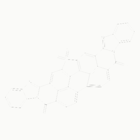 O=c1c2ccc3c4ccc5c(=O)n6c7ccccc7nc6c6cc7c(c8c(cc(c2c38)c2nc3ccccc3n12)S7(=O)=O)c4c56